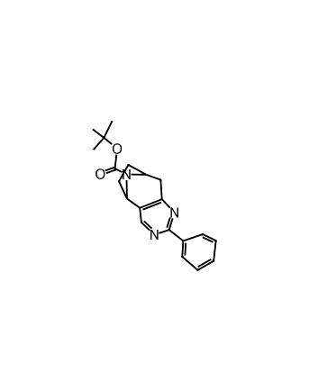 CC(C)(C)OC(=O)N1C2CCC1c1cnc(-c3ccccc3)nc1C2